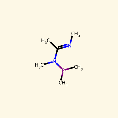 C/N=C(\C)N(C)P(C)C